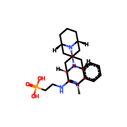 C[C@@H]1C[C@@H]2C[C@H](C1)C[C@@H](N1[C@@H]3CCC[C@H]1C[C@@H](N1CC(NCCP(=O)(O)O)=Nc4ccccc41)C3)C2